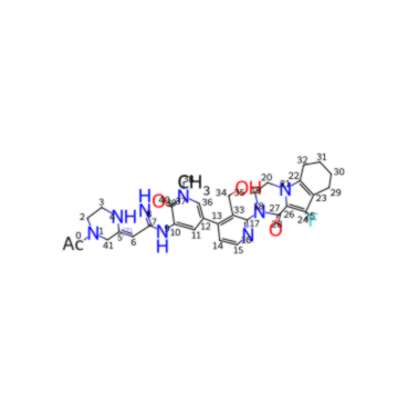 CC(=O)N1CCN/C(=C\C(=N)Nc2cc(-c3ccnc(N4CCn5c6c(c(F)c5C4=O)CCCC6)c3CO)cn(C)c2=O)C1